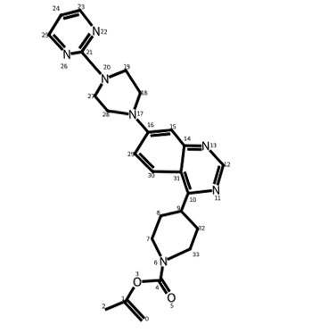 C=C(C)OC(=O)N1CCC(c2ncnc3cc(N4CCN(c5ncccn5)CC4)ccc23)CC1